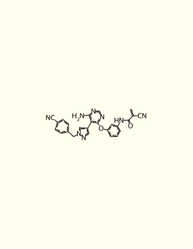 C=C(C#N)C(=O)Nc1cccc(Oc2ncnc(N)c2-c2cnn(Cc3ccc(C#N)cc3)c2)c1